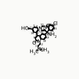 C#Cc1cccc(-c2cc(=O)n(CCN(C)C)c3ccc([C@](N)(c4ccc(Cl)cc4)c4cncn4C)cc23)c1